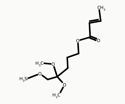 CC=CC(=O)OCCCC(CO[SiH3])(OC)OC